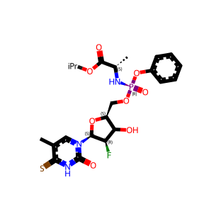 Cc1cn([C@H]2O[C@@H](CO[P@](=O)(N[C@@H](C)C(=O)OC(C)C)Oc3ccccc3)C(O)[C@H]2F)c(=O)[nH]c1=S